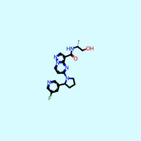 C[C@H](CO)NC(=O)c1cnn2ccc(N3CCCC3c3cncc(F)c3)nc12